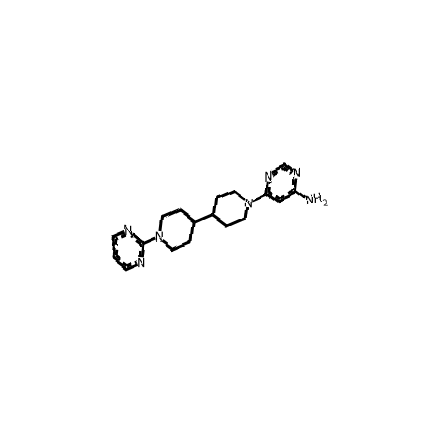 Nc1cc(N2CCC(C3CCN(c4ncccn4)CC3)CC2)ncn1